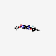 C[Si](C)(C)CCOC(=O)N1CCC(c2cnc(COc3ccc([N+](=O)[O-])cc3F)nc2)CC1